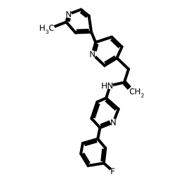 C=C(Cc1ccc(-c2ccnc(C)c2)nc1)Nc1ccc(-c2cccc(F)c2)nc1